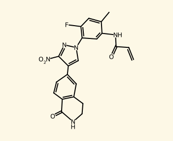 C=CC(=O)Nc1cc(-n2cc(-c3ccc4c(c3)CCNC4=O)c([N+](=O)[O-])n2)c(F)cc1C